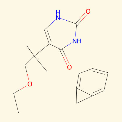 CCOCC(C)(C)c1c[nH]c(=O)[nH]c1=O.c1ccc2c(c1)C2